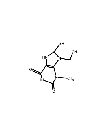 Cn1c2c(c(=O)[nH]c1=O)NC(S)N2CC#N